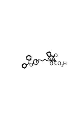 O=C(O)Cn1c(=O)c2ccccc2n(CCCCN2CCC(OC(c3ccccc3)c3ccccc3)CC2)c1=O